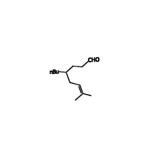 CCCCC(CC=C(C)C)CCC=O